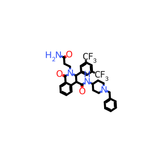 NC(=O)CCN1C(=O)c2ccccc2C(C(=O)NC2CCN(Cc3ccccc3)CC2)C1c1cc(C(F)(F)F)cc(C(F)(F)F)c1